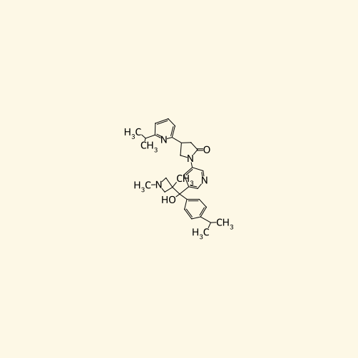 CC(C)c1ccc(C(O)(c2cncc(N3CC(c4cccc(C(C)C)n4)CC3=O)c2)C2(C)CN(C)C2)cc1